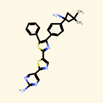 CC1(C)CC(N)(c2ccc(-c3nc(-c4cnc(-c5cnc(N)nc5)s4)sc3-c3ccccc3)cc2)C1